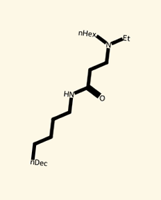 CCCCCCCCCCCCCCNC(=O)CCN(CC)CCCCCC